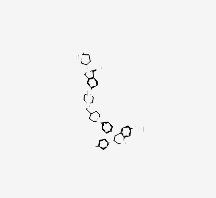 COc1ccc([C@@H]2COc3cc(O)ccc3[C@@H]2c2ccc(N3CCC(CN4CCN(c5ccc6c(c5)CN([C@H]5CCC(=O)NC5=O)C6=O)CC4)CC3)cc2)cc1